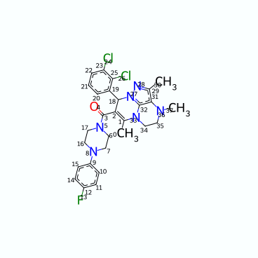 CC1=C(C(=O)N2CCN(c3ccc(F)cc3)CC2)C(c2cccc(Cl)c2Cl)n2nc(C)c3c2N1CCN3C